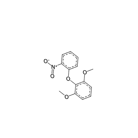 COc1cccc(OC)c1Oc1ccccc1[N+](=O)[O-]